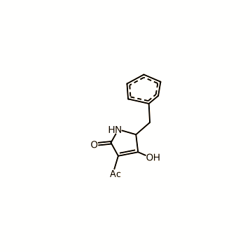 CC(=O)C1=C(O)C(Cc2ccccc2)NC1=O